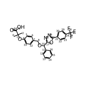 CC(C)(Oc1ccc(COC(c2ccccc2)c2nnc(-c3ccc(C(F)(F)F)cc3)o2)cc1)C(=O)O